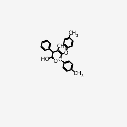 CC(=C(Oc1ccc(C)cc1)Oc1ccc(C)cc1)C(C(=O)O)c1ccccc1